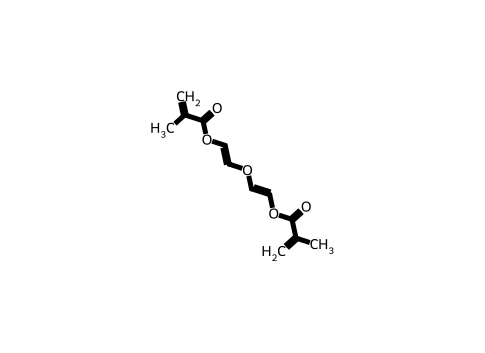 C=C(C)C(=O)OC=COC=COC(=O)C(=C)C